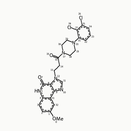 COc1ccc2[nH]c(=O)c3c(ncn3CCC(=O)N3CCN(c4cccc(Cl)c4Cl)CC3)c2c1